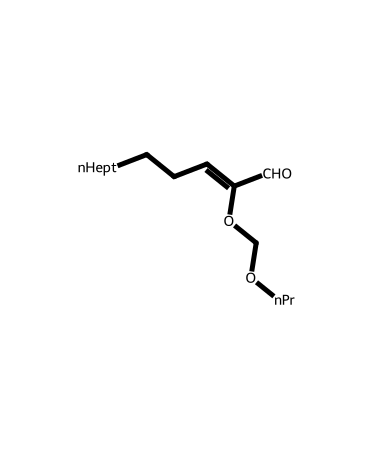 CCCCCCCCCC=C(C=O)OCOCCC